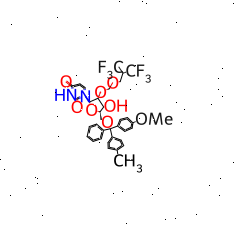 COc1ccc(C(OC[C@H]2O[C@@H](n3ccc(=O)[nH]c3=O)[C@@H](OCOCC(C(F)(F)F)C(F)(F)F)C2O)(c2ccccc2)c2ccc(C)cc2)cc1